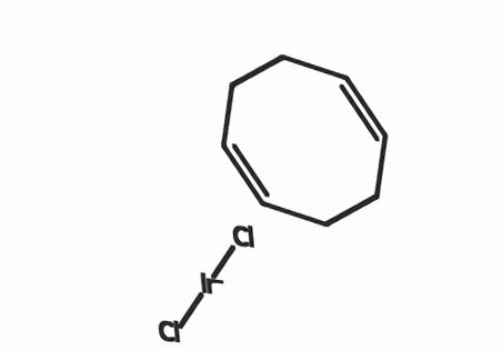 C1=CCCC=CCC1.[Cl][Ir-][Cl]